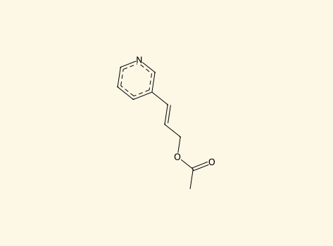 CC(=O)OC/C=C/c1cccnc1